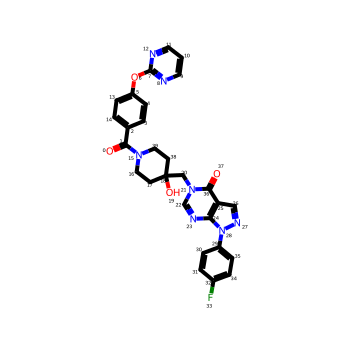 O=C(c1ccc(Oc2ncccn2)cc1)N1CCC(O)(Cn2cnc3c(cnn3-c3ccc(F)cc3)c2=O)CC1